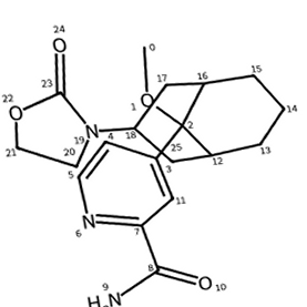 COC1(c2ccnc(C(N)=O)c2)C2CCCC1CC(N1CCOC1=O)C2